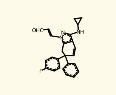 O=CC=Cn1nc(NC2CC2)c2c1CC(c1ccccc1)(c1ccc(F)cc1)C=C2